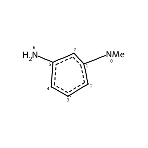 CNc1c[c]cc(N)c1